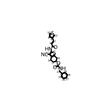 N#Cc1c(NC(=O)C=Cc2ccsc2)sc2c1CCC(OC(=O)NCc1ccccc1)C2